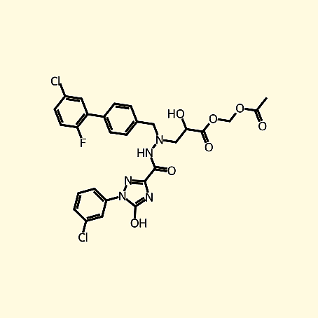 CC(=O)OCOC(=O)C(O)CN(Cc1ccc(-c2cc(Cl)ccc2F)cc1)NC(=O)c1nc(O)n(-c2cccc(Cl)c2)n1